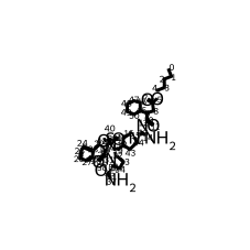 CCCCCOC(=O)CC(C(=O)N=C(N)N1CCC(CN([C@H](Cc2ccccc2)C(=O)N2CCC[C@H]2C(N)=O)S(C)(=O)=O)CC1)C1CCCCC1